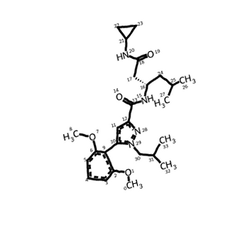 COc1cccc(OC)c1-c1cc(C(=O)N[C@H](CC(=O)NC2CC2)CC(C)C)nn1CC(C)C